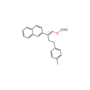 Cc1ccc(CC/C(=C\OC=O)c2ccc3ccccc3c2)cc1